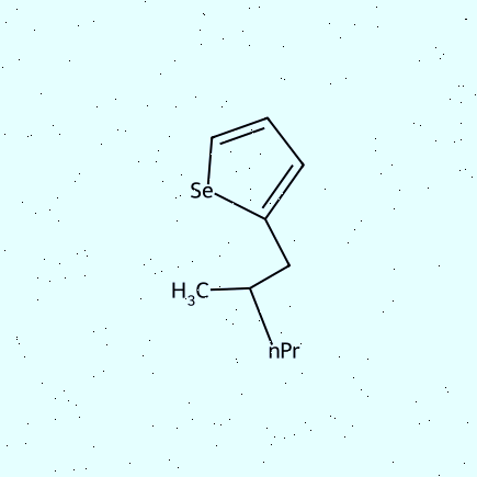 CCCC(C)Cc1ccc[se]1